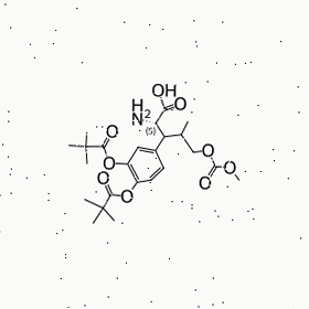 COC(=O)OCC(C)C(c1ccc(OC(=O)C(C)(C)C)c(OC(=O)C(C)(C)C)c1)[C@H](N)C(=O)O